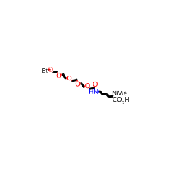 CCOCCOCCOCCOCCOCC(=O)NCCCC[C@H](NC)C(=O)O